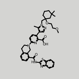 COCCOC1(Cn2ncc(-c3ccc(N4CCc5cccc(C(=O)Nc6nc7ccccc7s6)c5C4)nc3C(=O)O)c2C)CCCC(C)(C)C1